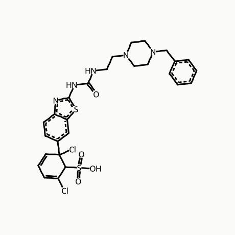 O=C(NCCN1CCN(Cc2ccccc2)CC1)Nc1nc2ccc(C3(Cl)C=CC=C(Cl)C3S(=O)(=O)O)cc2s1